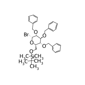 CC(C)(C)[Si](C)(C)OC[C@H]1O[C@H](Br)[C@H](OCc2ccccc2)[C@@H](OCc2ccccc2)[C@@H]1OCc1ccccc1